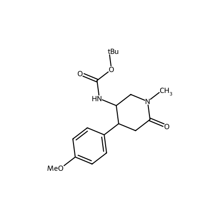 COc1ccc(C2CC(=O)N(C)CC2NC(=O)OC(C)(C)C)cc1